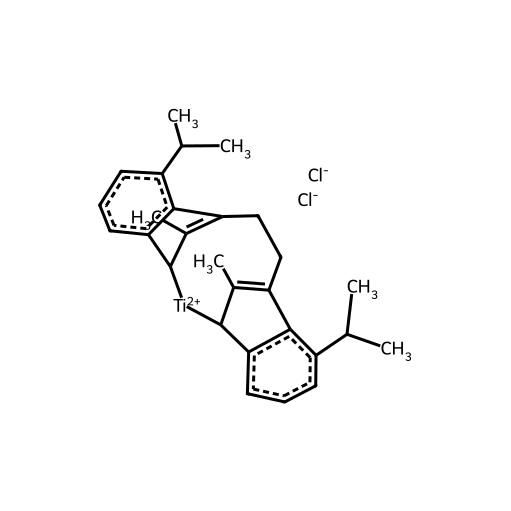 CC1=C2CCC3=C(C)[CH]([Ti+2][CH]1c1cccc(C(C)C)c12)c1cccc(C(C)C)c13.[Cl-].[Cl-]